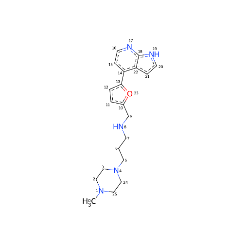 CN1CCN(CCCNCc2ccc(-c3ccnc4[nH]ccc34)o2)CC1